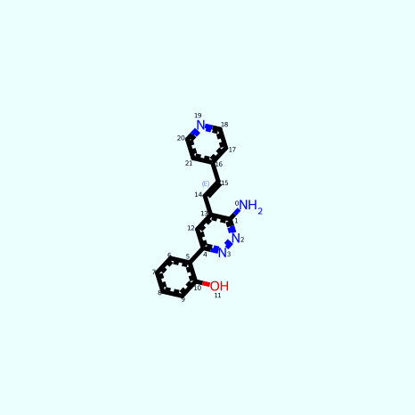 Nc1nnc(-c2ccccc2O)cc1/C=C/c1ccncc1